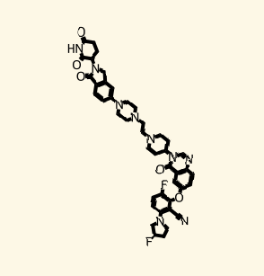 N#Cc1c(N2CC[C@@H](F)C2)ccc(F)c1Oc1ccc2ncn(C3CCN(CCN4CCN(c5ccc6c(c5)CN(C5CCC(=O)NC5=O)C6=O)CC4)CC3)c(=O)c2c1